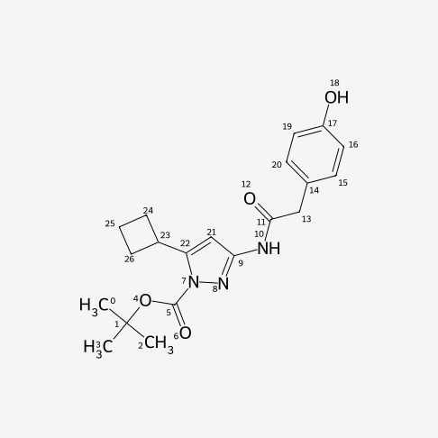 CC(C)(C)OC(=O)n1nc(NC(=O)Cc2ccc(O)cc2)cc1C1CCC1